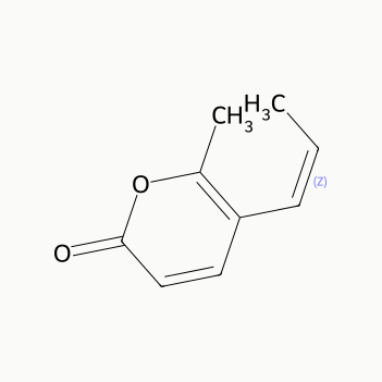 C/C=C\c1ccc(=O)oc1C